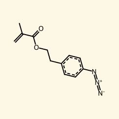 C=C(C)C(=O)OCCc1ccc(N=[N+]=[N-])cc1